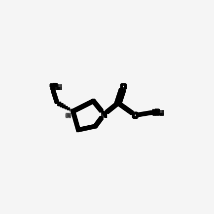 CC(C)(C)C[C@H]1CCN(C(=O)OC(C)(C)C)C1